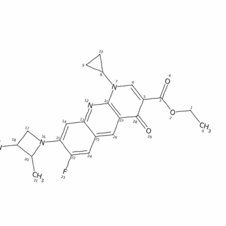 CCOC(=O)c1cn(C2CC2)c2nc3cc(N4CC(N)C4C)c(F)cc3cc2c1=O